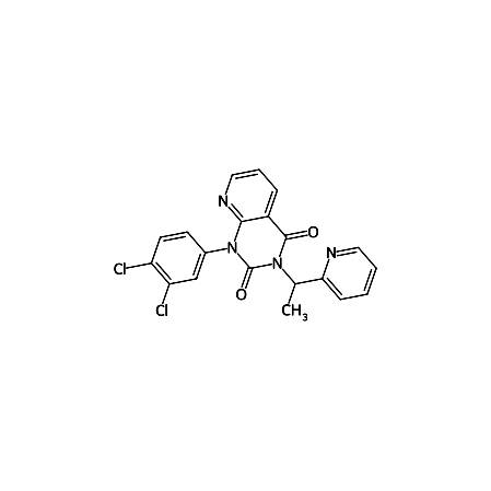 CC(c1ccccn1)n1c(=O)c2cccnc2n(-c2ccc(Cl)c(Cl)c2)c1=O